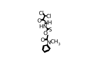 CN(C(=O)COC(=S)NNC(=O)C(Cl)Cl)c1ccccc1